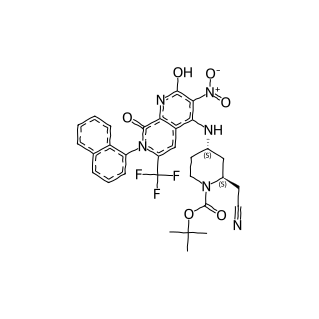 CC(C)(C)OC(=O)N1CC[C@H](Nc2c([N+](=O)[O-])c(O)nc3c(=O)n(-c4cccc5ccccc45)c(C(F)(F)F)cc23)C[C@H]1CC#N